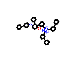 C1=CC2C(c3ccccc3N2c2ccc(-c3ccccc3)cc2)c2c1oc1c(-c3nc(-c4cccc(-c5ccccc5)c4)nc(-c4cccc(-c5ccccc5)c4)n3)cccc21